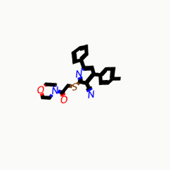 Cc1ccc(-c2cc(-c3ccccc3)nc(SCC(=O)N3CCOCC3)c2C#N)cc1